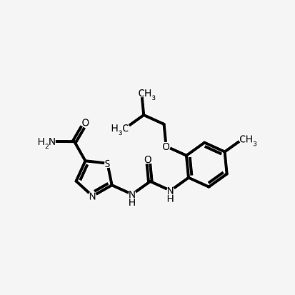 Cc1ccc(NC(=O)Nc2ncc(C(N)=O)s2)c(OCC(C)C)c1